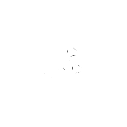 CC(CCC(=O)CC(c1ccccc1)c1ccccc1)N(C)C